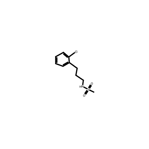 CS(=O)(=O)NCCCc1ccccc1Cl